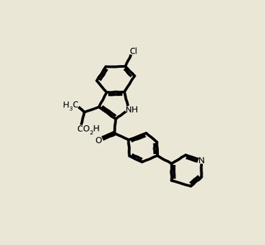 CC(C(=O)O)c1c(C(=O)c2ccc(-c3cccnc3)cc2)[nH]c2cc(Cl)ccc12